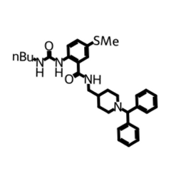 CCCCNC(=O)Nc1ccc(SC)cc1C(=O)NCC1CCN(C(c2ccccc2)c2ccccc2)CC1